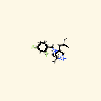 C[C](C)C[C@]12CN[C@H](CN1Cc1ccc(F)cc1F)C2